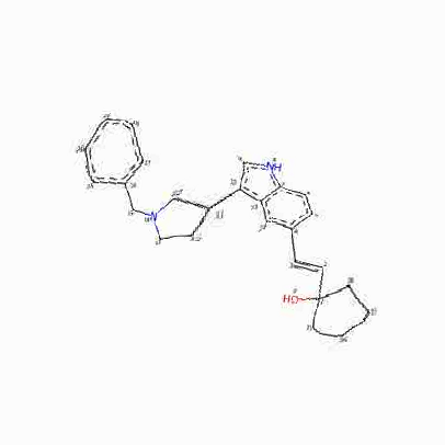 OC1(/C=C/c2ccc3[nH]cc(C4CCN(Cc5ccccc5)C4)c3c2)CCCC1